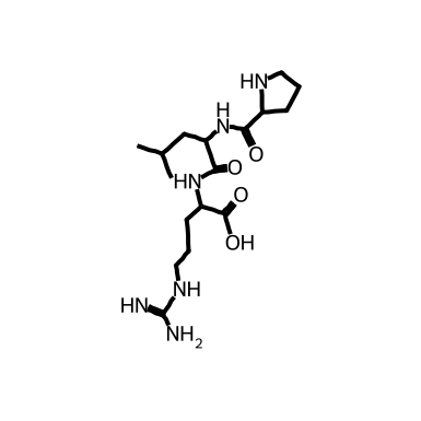 CC(C)CC(NC(=O)C1CCCN1)C(=O)NC(CCCNC(=N)N)C(=O)O